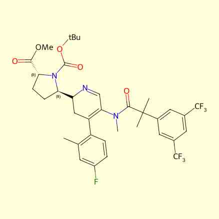 COC(=O)[C@H]1CC[C@H](C2CC(c3ccc(F)cc3C)=C(N(C)C(=O)C(C)(C)c3cc(C(F)(F)F)cc(C(F)(F)F)c3)C=N2)N1C(=O)OC(C)(C)C